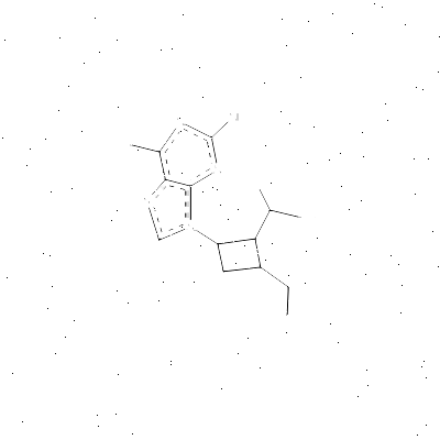 CCCC(O)C1C(CO)CC1n1cnc2c(Cl)nc(N)nc21